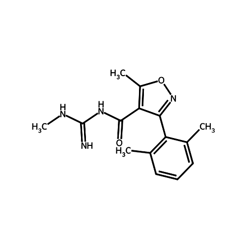 CNC(=N)NC(=O)c1c(-c2c(C)cccc2C)noc1C